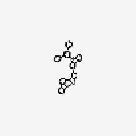 c1ccc(-c2cc(-c3ccccc3)cc(-n3c4ccccc4c4cc(-c5ccc6oc7cc8c9c(cccc9c7c6c5)-c5ccccc5-8)ccc43)c2)cc1